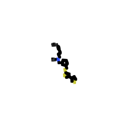 CCN(CC=CC#CC(C)(C)C)Cc1cccc(CSc2cc(-c3ccsc3)cs2)c1